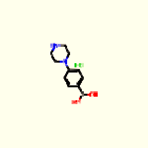 Cl.OB(O)c1ccc(N2CCNCC2)cc1